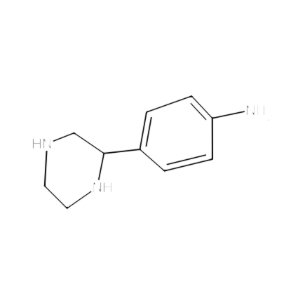 Nc1ccc(C2CNCCN2)cc1